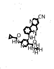 [2H]C([2H])([2H])NC(=O)c1cnc(NC(=O)C2CC2)cc1Nc1cccc2c1N(C)Cc1cc(C#N)cnc1-2